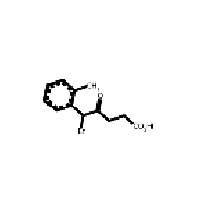 CCC(C(=O)CCC(=O)O)c1ccccc1C